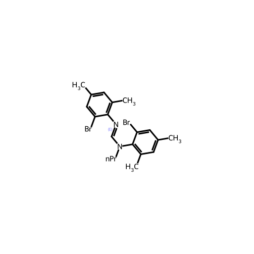 CCCN(/C=N/c1c(C)cc(C)cc1Br)c1c(C)cc(C)cc1Br